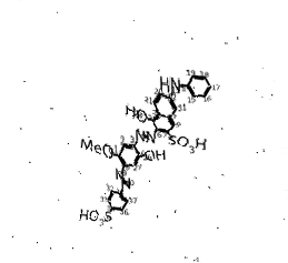 COc1cc(N=Nc2c(S(=O)(=O)O)cc3cc(Nc4ccccc4)ccc3c2O)c(O)cc1N=Nc1ccc(S(=O)(=O)O)cc1